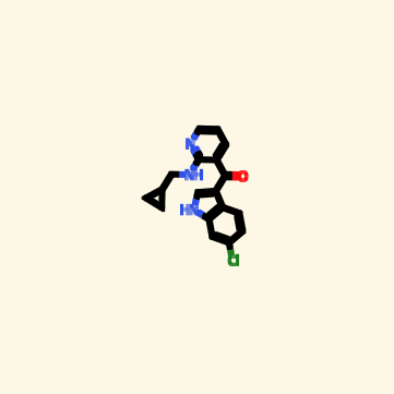 O=C(c1cccnc1NCC1CC1)c1c[nH]c2cc(Cl)ccc12